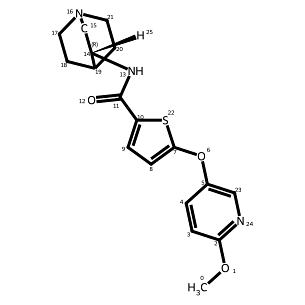 COc1ccc(Oc2ccc(C(=O)N[C@H]3CN4CCC3CC4)s2)cn1